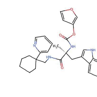 C[C@@](Cc1c[nH]c2ccccc12)(NC(=O)Oc1ccoc1)C(=O)NCC1(c2ccccn2)CCCCC1